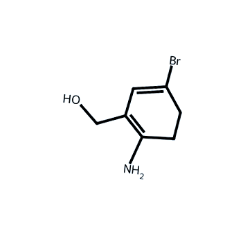 NC1=C(CO)C=C(Br)CC1